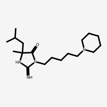 CC(C)CC1(C)NC(=N)N(CCCCCN2CCCCC2)C1=O